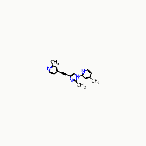 Cc1cc(C#Cc2cn(-c3cc(C(F)(F)F)ccn3)c(C)n2)ccn1